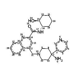 NC1(c2cccnc2)CCN(Cc2cc(C(=O)N[C@H]3CCCC[C@@H]3O)nc3ccccc23)CC1